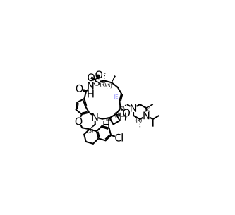 CO[C@]1(CN2C[C@@H](C)N(C(C)C)[C@H](C)C2)/C=C/C[C@H](C)[C@@H](C)S(=O)(=O)NC(=O)c2ccc3c(c2)N(C[C@@H]2CC[C@H]21)C[C@@]1(CCCc2cc(Cl)ccc21)CO3